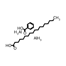 CCCCCCCCCCCCCCCCCC(=O)O.O=C(O)c1ccccc1.[AlH3].[AlH3]